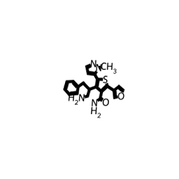 Cn1nccc1-c1sc(-c2ccoc2)c(C(N)=O)c1C(CN)Cc1ccccc1